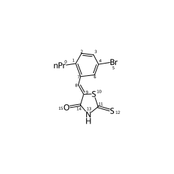 CCCc1ccc(Br)cc1/C=C1\SC(=S)NC1=O